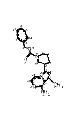 Cc1nc(C2CCCN(C(=O)OCc3ccccc3)C2)n2ccnc(N)c12